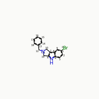 Brc1ccc2[nH]c3c(c2c1)CN(Cc1ccccc1)C3